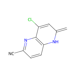 C=C1C=C(Cl)c2nc(C#N)ccc2N1